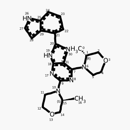 C[C@@H]1COCCN1c1nc(N2CCOC[C@@H]2C)nc2[nH]c(-c3cccc4[nH]ccc34)nc12